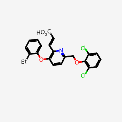 CCc1ccccc1Oc1ccc(COc2c(Cl)cccc2Cl)nc1C=CC(=O)O